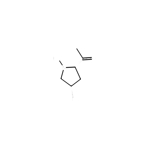 CN1C[C@@H](F)C[C@H]1C(=O)I